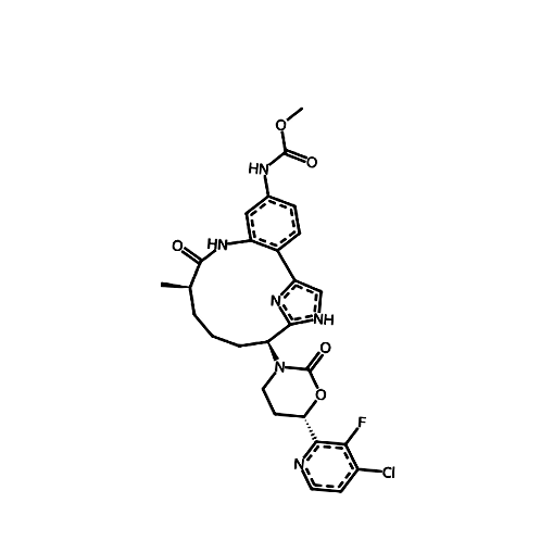 COC(=O)Nc1ccc2c(c1)NC(=O)[C@H](C)CCC[C@H](N1CC[C@@H](c3nccc(Cl)c3F)OC1=O)c1nc-2c[nH]1